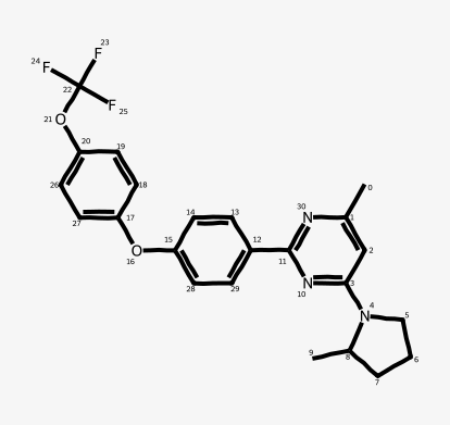 Cc1cc(N2CCCC2C)nc(-c2ccc(Oc3ccc(OC(F)(F)F)cc3)cc2)n1